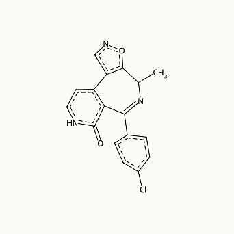 CC1N=C(c2ccc(Cl)cc2)c2c(cc[nH]c2=O)-c2cnoc21